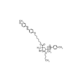 CCCCOC(=O)C(CC(C)(CBr)C(=O)OCCCCCCOc1ccc(N=Nc2ccc(OC)cc2)cc1)C(C)(C)OC(=O)c1ccc(C)cc1